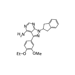 CCOc1ccc(-c2nn(C3Cc4ccccc4C3)c3ncnc(N)c23)cc1OC